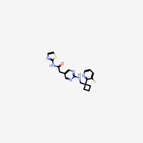 O=C(Cc1cnc(NCC2(c3ncccc3F)CCC2)nc1)Nc1nccs1